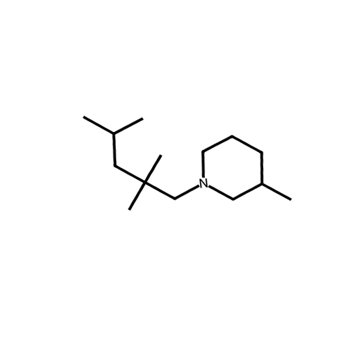 CC(C)CC(C)(C)CN1CCCC(C)C1